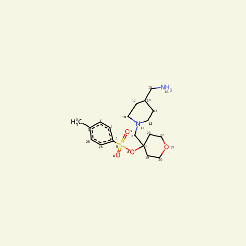 Cc1ccc(S(=O)(=O)OC2(CN3CCC(CN)CC3)CCOCC2)cc1